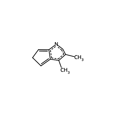 Cc1cnc2c(c1C)=CCC=2